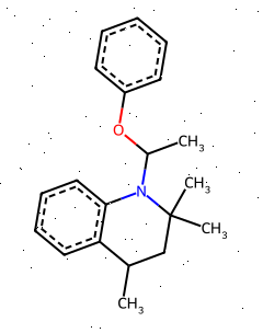 CC1CC(C)(C)N(C(C)Oc2ccccc2)c2ccccc21